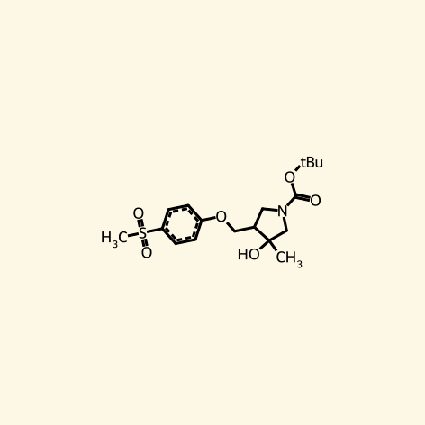 CC(C)(C)OC(=O)N1CC(COc2ccc(S(C)(=O)=O)cc2)C(C)(O)C1